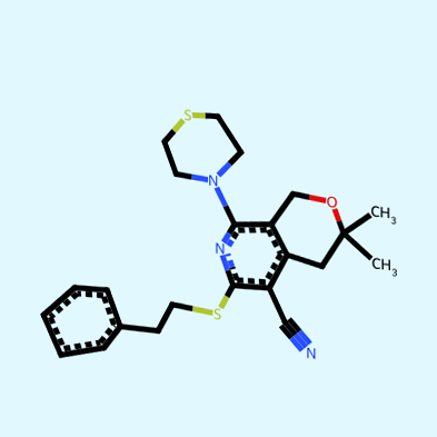 CC1(C)Cc2c(C#N)c(SCCc3ccccc3)nc(N3CCSCC3)c2CO1